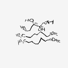 CCCCCCCCCCCCCCCC(=O)O.CCCCCCCCCCCCCCCC(=O)O.OC[C@@H](O)[C@@H](O)CO